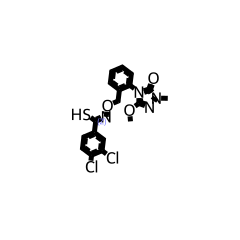 COc1nn(C)c(=O)n1-c1ccccc1CO/N=C(\S)c1ccc(Cl)c(Cl)c1